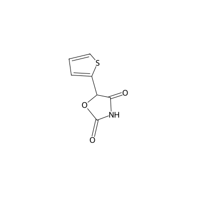 O=C1NC(=O)C(c2cccs2)O1